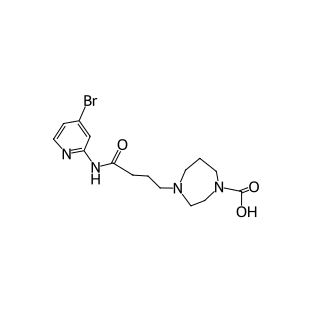 O=C(CCCN1CCCN(C(=O)O)CC1)Nc1cc(Br)ccn1